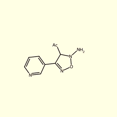 CC(=O)C1C(c2cccnc2)=NON1N